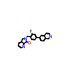 O=C1c2ncccc2CN1Cc1ccc(-c2ccc3cnccc3c2)cc1F